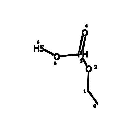 CCO[PH](=O)OS